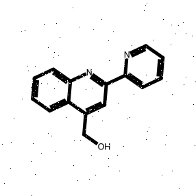 OCc1cc(-c2ccccn2)nc2ccccc12